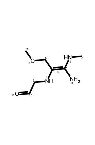 CN/C(N)=C(\COC)NCC=O